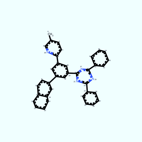 Cc1ccc(-c2cc(-c3ccc4ccccc4c3)cc(-c3nc(-c4ccccc4)nc(-c4ccccc4)n3)c2)nc1